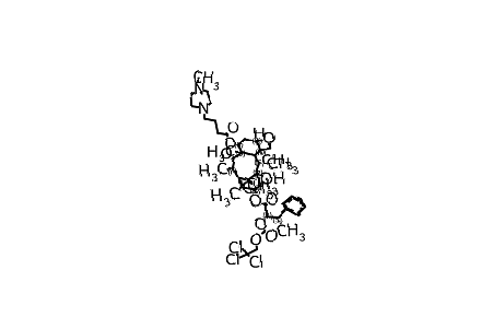 CC1=C2[C@@H](C)C(=O)[C@@]3(C)C([C@H](C)[C@](O)(C[C@@H]1OC(=O)[C@H](OC(=O)OCC(Cl)(Cl)Cl)[C@@H](C)c1ccccc1)C2(C)C)[C@]1(C)CO[C@@H]1C[C@@H]3OC(=O)CCCN1CCN(C)CC1